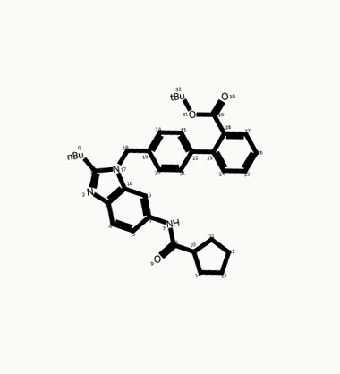 CCCCc1nc2ccc(NC(=O)C3CCCC3)cc2n1Cc1ccc(-c2ccccc2C(=O)OC(C)(C)C)cc1